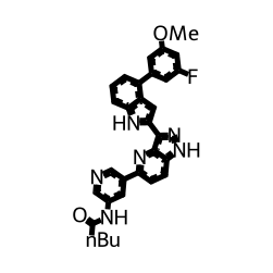 CCCCC(=O)Nc1cncc(-c2ccc3[nH]nc(-c4cc5c(-c6cc(F)cc(OC)c6)cccc5[nH]4)c3n2)c1